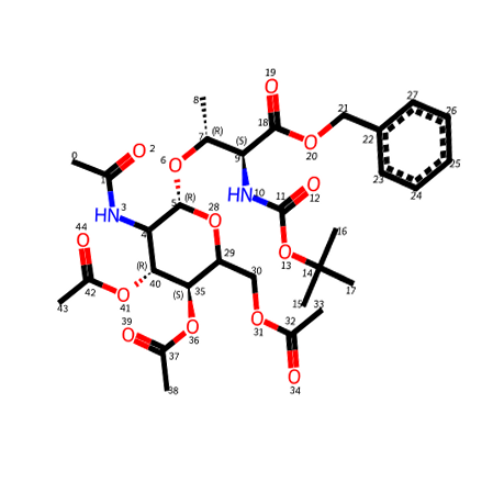 CC(=O)NC1[C@H](O[C@H](C)[C@H](NC(=O)OC(C)(C)C)C(=O)OCc2ccccc2)OC(COC(C)=O)[C@@H](OC(C)=O)[C@@H]1OC(C)=O